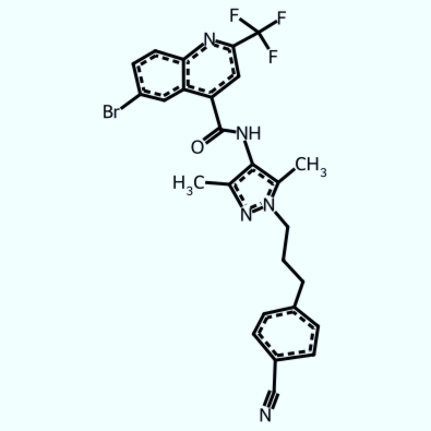 Cc1nn(CCCc2ccc(C#N)cc2)c(C)c1NC(=O)c1cc(C(F)(F)F)nc2ccc(Br)cc12